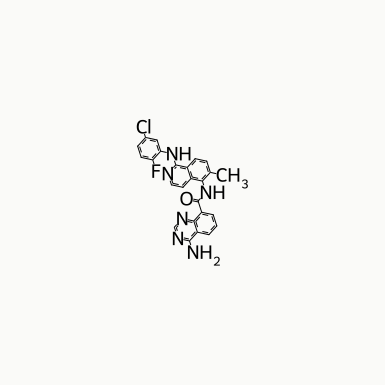 Cc1ccc2c(Nc3cc(Cl)ccc3F)nccc2c1NC(=O)c1cccc2c(N)ncnc12